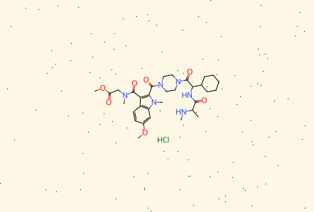 CNC(C)C(=O)NC(C(=O)N1CCN(C(=O)c2c(C(=O)N(C)CC(=O)OC)c3ccc(OC)cc3n2C)CC1)C1CCCCC1.Cl